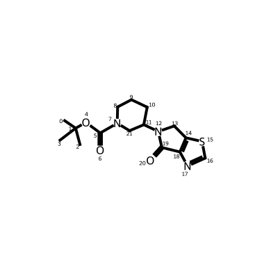 CC(C)(C)OC(=O)N1CCCC(N2Cc3scnc3C2=O)C1